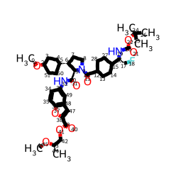 COC1CCC([C@@H]2CCN(C(=O)C3CCC([C@@H](CF)NC(=O)OC(C)(C)C)CC3)[C@H]2C(=O)Nc2ccc3oc(C(=O)OC[C@H](C)OC)cc3c2)CC1